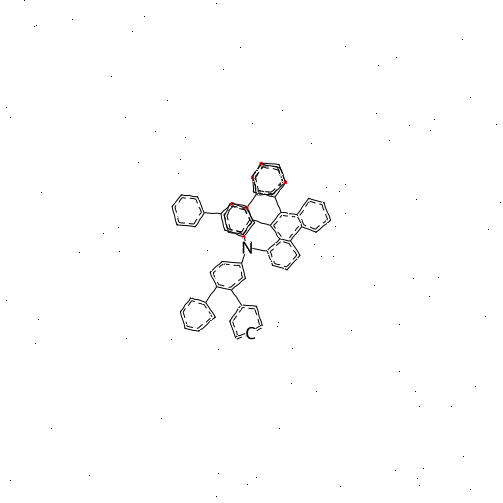 c1ccc(-c2cc(-c3ccccc3)cc(N(c3ccc(-c4ccccc4)c(-c4ccccc4)c3)c3cccc4c3c(-c3ccccc3)c(-c3ccccc3)c3ccccc34)c2)cc1